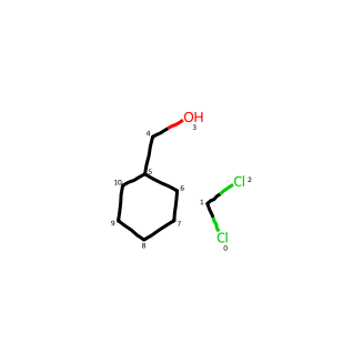 ClCCl.OCC1CCCCC1